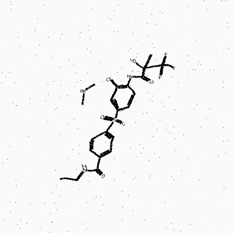 CCNC(=O)c1ccc(S(=O)(=O)c2ccc(NC(=O)C(C)(O)C(F)(F)F)c(Cl)c2)cc1.CNC